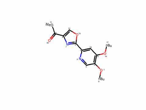 CCCCOc1cnc(-c2nc(C(=O)OC)co2)cc1OCCCC